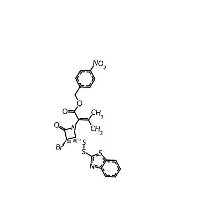 CC(C)=C(C(=O)OCc1ccc([N+](=O)[O-])cc1)N1C(=O)[C@H](Br)[C@H]1SSc1nc2ccccc2s1